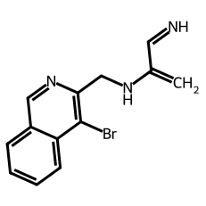 C=C(C=N)NCc1ncc2ccccc2c1Br